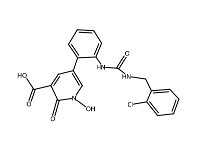 O=C(NCc1ccccc1Cl)Nc1ccccc1-c1cc(C(=O)O)c(=O)n(O)c1